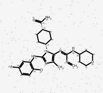 C=N/C(=N\c1c(C)nc(Nc2cc(F)ccc2Cl)n1[C@H]1CC[C@@H](C(N)=O)CC1)NC1CCOCC1